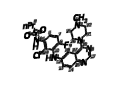 CCCS(=O)(=O)Nc1ccc(F)c(Nc2ccc3ncnc(N4CCN(C)CC4)c3c2)c1Cl